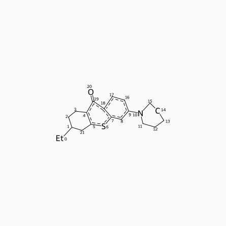 CCC1CCc2c(sc3cc(N4CCCCC4)ccc3c2=O)C1